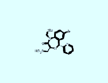 CC(C)(C)CN1C(=O)[C@H](CC(=O)O)O[C@@H](c2ccccn2)c2cc(Br)ccc21